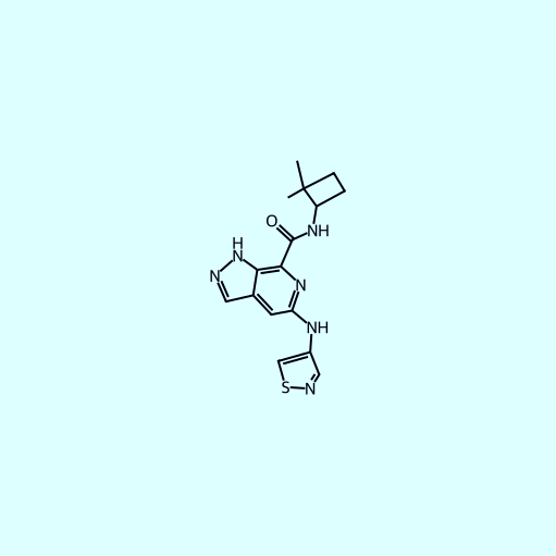 CC1(C)CCC1NC(=O)c1nc(Nc2cnsc2)cc2cn[nH]c12